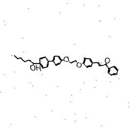 [CH2]CCCCC(O)c1ccc(-c2ccc(OCCOc3ccc(/C=C/C(=O)c4ccccc4)cc3)cc2)cc1